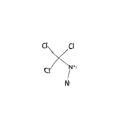 [N][N+]C(Cl)(Cl)Cl